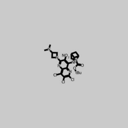 CN(C)C1CN(c2nc3c(Cl)c(Cl)c(Cl)nc3c(NC3C4CC3N(C(=O)OC(C)(C)C)C4)c2[N+](=O)[O-])C1